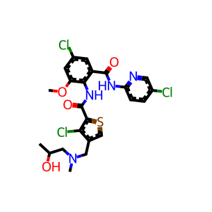 COc1cc(Cl)cc(C(=O)Nc2ccc(Cl)cn2)c1NC(=O)c1scc(CN(C)CC(C)O)c1Cl